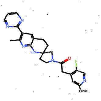 COc1cc(CC(=O)N2CC[C@@]3(CCc4cc(-c5ncccn5)c(C)nc4N3)C2)c(F)cn1